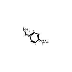 CC(=O)Oc1ccc(CN)cc1